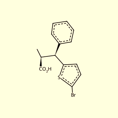 C[C@H](C(=O)O)[C@@H](c1ccccc1)c1ccc(Br)s1